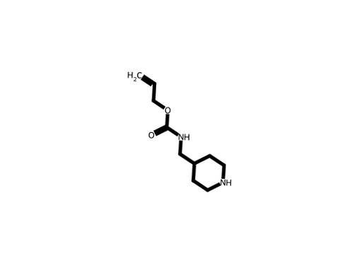 C=CCOC(=O)NCC1CCNCC1